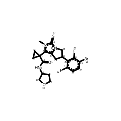 Cn1c(C2(C(=O)NC3CCOC3)CC2)c2n(c1=S)CC(c1c(F)ccc(Br)c1F)C2